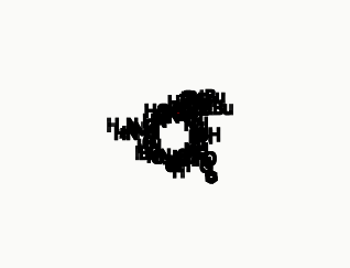 CC[C@H](C)[C@@H]1NC(=O)[C@@H](CCCNC(=N)N)NC(=O)[C@H](CC(C)C)NC(=O)[C@H]([C@H](O)C(C)C)NC(=O)[C@@H](NC(=O)[C@H](CC(C)(C)C)NC(=O)[C@@H](CC(C)(C)C)NC(=O)OC(C)(C)C)[C@@H](c2ccccc2)NC(=O)C(CO)NC(=O)[C@H](CCCNC(=O)OCc2ccccc2)NC(=O)CNC(=O)[C@H]([C@H](C)O)NC1=O